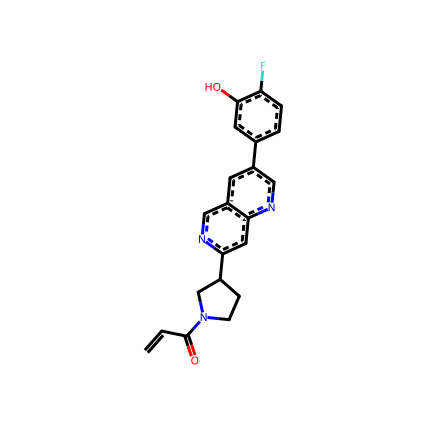 C=CC(=O)N1CCC(c2cc3ncc(-c4ccc(F)c(O)c4)cc3cn2)C1